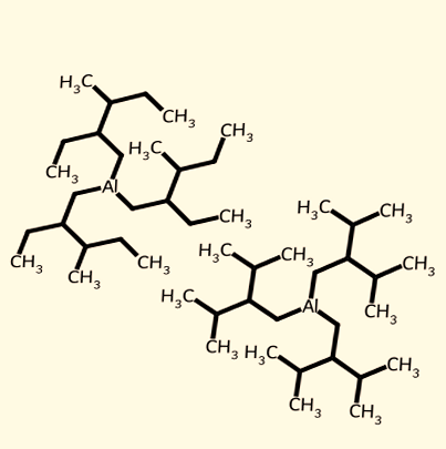 CC(C)C([CH2][Al]([CH2]C(C(C)C)C(C)C)[CH2]C(C(C)C)C(C)C)C(C)C.CCC(C)C(CC)[CH2][Al]([CH2]C(CC)C(C)CC)[CH2]C(CC)C(C)CC